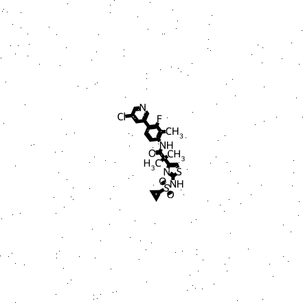 Cc1c(NC(=O)C(C)(C)c2csc(NS(=O)(=O)C3CC3)n2)ccc(-c2cncc(Cl)c2)c1F